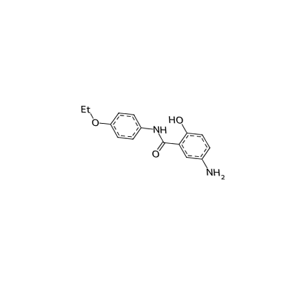 CCOc1ccc(NC(=O)c2cc(N)ccc2O)cc1